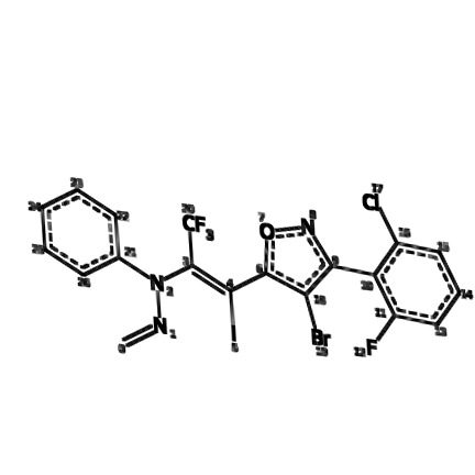 C=NN(/C(=C(\I)c1onc(-c2c(F)cccc2Cl)c1Br)C(F)(F)F)c1ccccc1